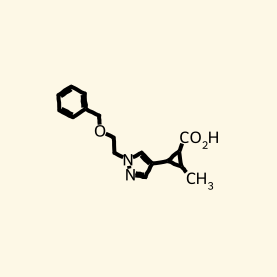 CC1C(C(=O)O)C1c1cnn(CCOCc2ccccc2)c1